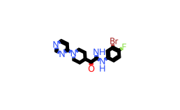 N=C(Nc1ccc(F)c(Br)c1)C(=O)C1CCN(c2ccncn2)CC1